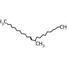 CCCCCCCCCC/C=C/C(C)CCCCCCCCCC